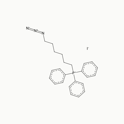 [I-].[N-]=[N+]=NCCCCCC[P+](c1ccccc1)(c1ccccc1)c1ccccc1